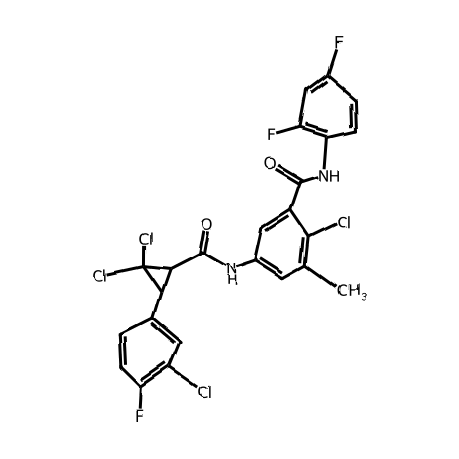 Cc1cc(NC(=O)C2C(c3ccc(F)c(Cl)c3)C2(Cl)Cl)cc(C(=O)Nc2ccc(F)cc2F)c1Cl